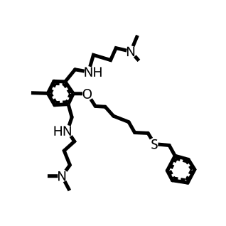 Cc1cc(CNCCCN(C)C)c(OCCCCCCSCc2ccccc2)c(CNCCCN(C)C)c1